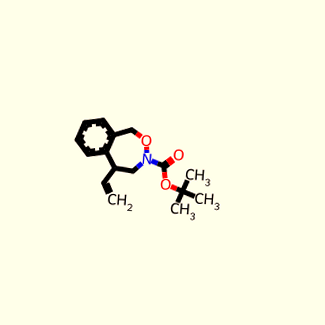 C=CC1CN(C(=O)OC(C)(C)C)OCc2ccccc21